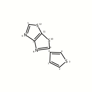 c1ccsc1.c1nc2ncsc2s1